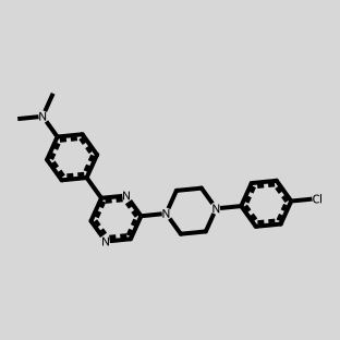 CN(C)c1ccc(-c2cncc(N3CCN(c4ccc(Cl)cc4)CC3)n2)cc1